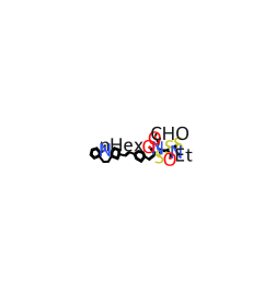 CCCCCCN1c2ccccc2CCc2cc(/C=C/c3ccc(/C=c4/s/c(=C5/SC(=S)N(CC)C5=O)n(COC=O)c4=O)cc3)ccc21